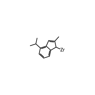 CC1=Cc2c(C(C)C)cccc2[CH]1[Zr]